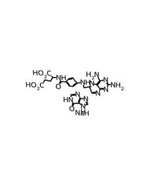 Nc1nc(N)c2nc(CNc3ccc(C(=O)NC(CCC(=O)O)C(=O)O)cc3)cnc2n1.O=c1[nH]cnc2nc[nH]c12.[NaH]